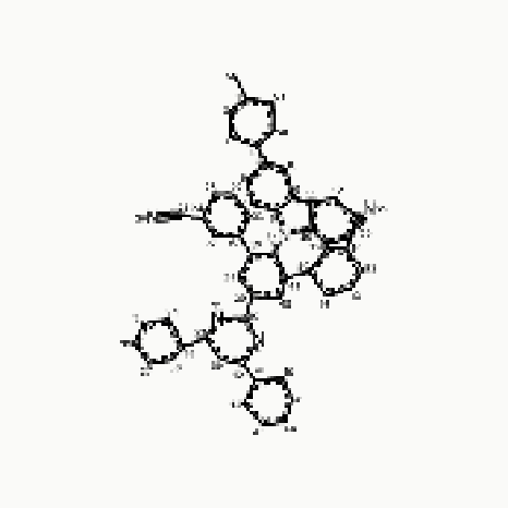 Cc1ccc(-c2ccc3c(c2)c2ccccc2n3-c2c(-c3cccc(C#N)c3)cc(-c3nc(-c4ccccc4)cc(-c4ccccc4)n3)cc2-c2cccc(C#N)c2)cc1